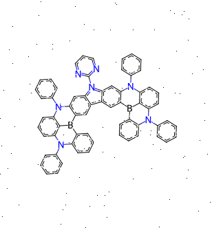 c1ccc(N2c3ccccc3B3c4cc5c6cc7c(cc6n(-c6ncccn6)c5cc4N(c4ccccc4)c4cccc2c43)N(c2ccccc2)c2cccc3c2B7c2ccccc2N3c2ccccc2)cc1